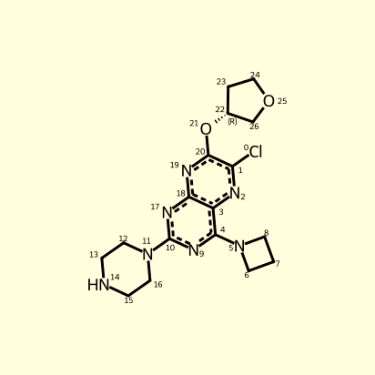 Clc1nc2c(N3CCC3)nc(N3CCNCC3)nc2nc1O[C@@H]1CCOC1